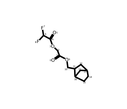 O=C(COC(=O)C(F)F)OCC1CC2CCC1C2